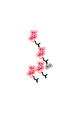 C=C(C)CCOP(=O)([O-])OP(=O)([O-])[O-].C=C(C)CCOP(=O)([O-])OP(=O)([O-])[O-].C=C(C)CCOP(=O)([O-])OP(=O)([O-])[O-].C=C(C)CCOP(=O)([O-])OP(=O)([O-])[O-].[C+4].[C+4].[C+4]